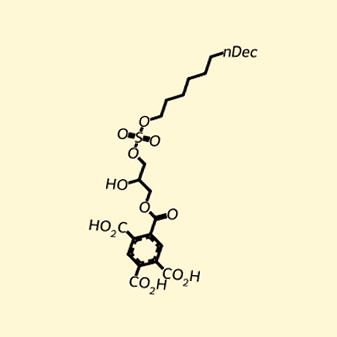 CCCCCCCCCCCCCCCCOS(=O)(=O)OCC(O)COC(=O)c1cc(C(=O)O)c(C(=O)O)cc1C(=O)O